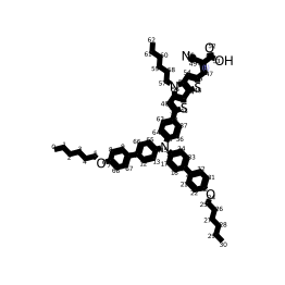 CCCCCCOc1ccc(-c2ccc(N(c3ccc(-c4ccc(OCCCCCC)cc4)cc3)c3ccc(-c4cc5c(s4)c4sc(/C=C(\C#N)C(=O)O)cc4n5CCCCCC)cc3)cc2)cc1